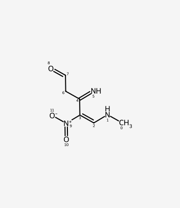 CN/C=C(\C(=N)CC=O)[N+](=O)[O-]